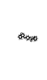 O=C(NC1CCN(CC2CCOc3ccccc32)CC1)c1cccnc1